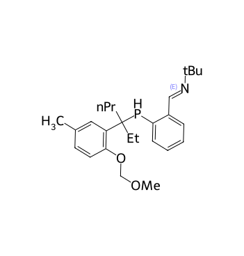 CCCC(CC)(Pc1ccccc1/C=N/C(C)(C)C)c1cc(C)ccc1OCOC